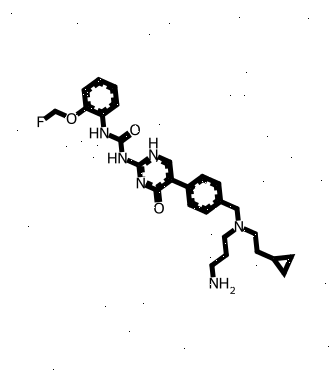 NCCCN(CCC1CC1)Cc1ccc(-c2c[nH]c(NC(=O)Nc3ccccc3OCF)nc2=O)cc1